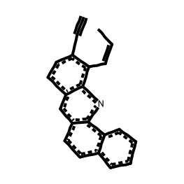 C#Cc1ccc2cc3ccc4ccccc4c3nc2c1/C=C\C